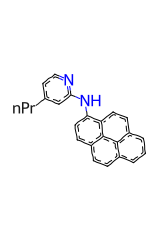 CCCc1ccnc(Nc2ccc3ccc4cccc5ccc2c3c45)c1